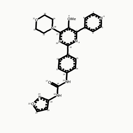 COc1c(-c2ccncc2)nc(-c2ccc(NC(=O)Nc3ccon3)cc2)nc1N1CCOCC1